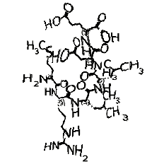 CSCC[C@H](N)C(=O)N[C@@H](CCCNC(=N)N)C(=O)N[C@@H](CC(C)C)C(=O)N[C@@H](CC(C)C)C(=O)N[C@@H](CC(=O)O)C(=O)N[C@@H](CCC(=O)O)C(=O)O